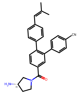 CC(C)=Cc1ccc(-c2ccc(C(=O)N3CC[C@H](N)C3)cc2-c2ccc(C#N)cc2)cc1